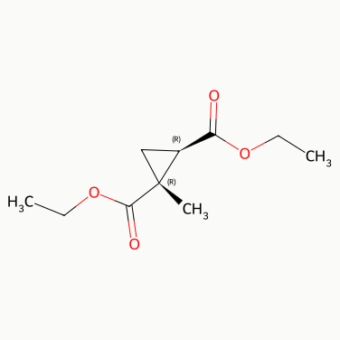 CCOC(=O)[C@@H]1C[C@@]1(C)C(=O)OCC